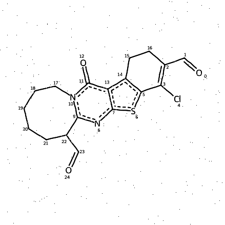 O=CC1=C(Cl)c2sc3nc4n(c(=O)c3c2CC1)CCCCCC4C=O